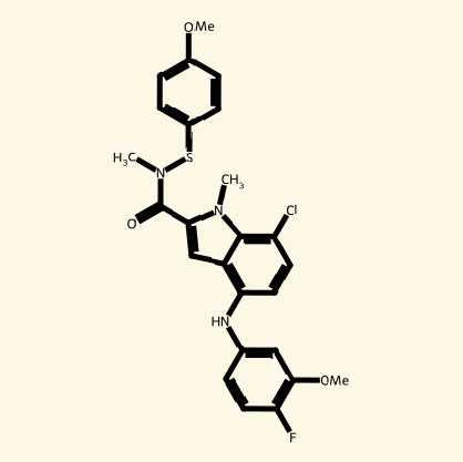 COc1ccc(SN(C)C(=O)c2cc3c(Nc4ccc(F)c(OC)c4)ccc(Cl)c3n2C)cc1